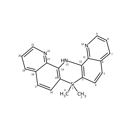 C[Si]1(C)c2ccc3cccnc3c2Nc2c1ccc1cccnc21